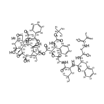 C=C(C)C(=O)NCC(=O)NC(Cc1ccccc1)C(=O)NC(CC(C)C)C(=O)NCC(=O)O[C@@H](C(=O)O[C@@H]1C[C@@]2(O)[C@@H](OC(=O)c3ccccc3)[C@@H]3[C@]4(OC(C)=O)CO[C@@H]4C[C@H](O)[C@@]3(C)C(=O)[C@H](O)C(=C1C)C2(C)C)[C@@H](NC(=O)OC(C)(C)C)c1ccccc1